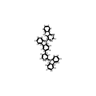 c1ccc2c(c1)sc1c(-n3c4ccccc4c4cc(-c5ccnc(-n6c7ccccc7c7ccccc76)c5)ccc43)ncnc12